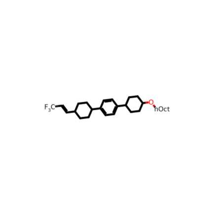 CCCCCCCCOC1CCC(c2ccc(C3CCC(/C=C/C(F)(F)F)CC3)cc2)CC1